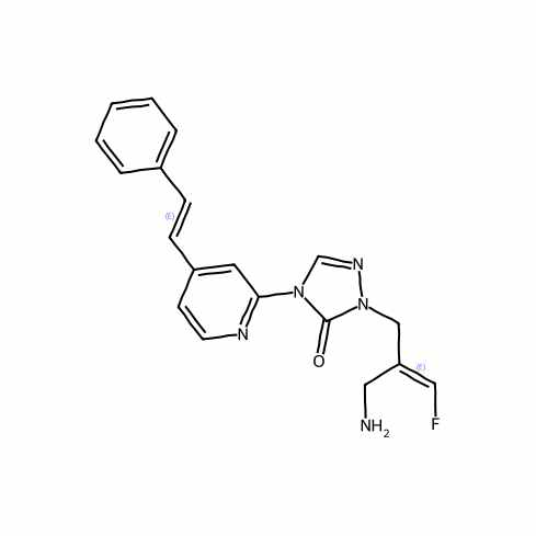 NC/C(=C\F)Cn1ncn(-c2cc(/C=C/c3ccccc3)ccn2)c1=O